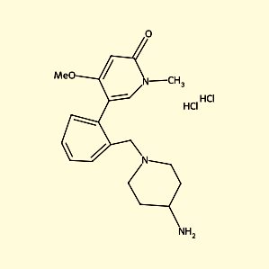 COc1cc(=O)n(C)cc1-c1ccccc1CN1CCC(N)CC1.Cl.Cl